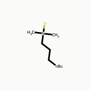 CCCCCCC[Si](C)(C)[S]